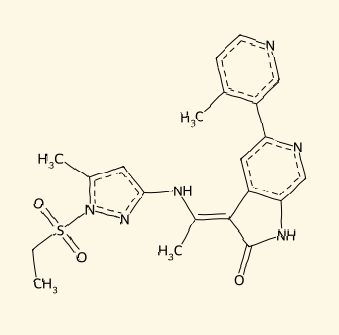 CCS(=O)(=O)n1nc(NC(C)=C2C(=O)Nc3cnc(-c4cnccc4C)cc32)cc1C